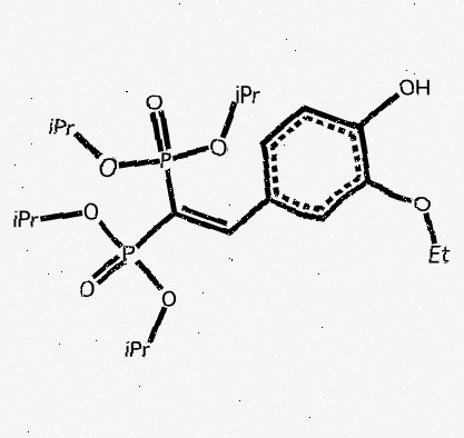 CCOc1cc(C=C(P(=O)(OC(C)C)OC(C)C)P(=O)(OC(C)C)OC(C)C)ccc1O